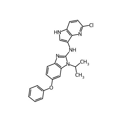 CC(C)n1c(Nc2c[nH]c3ccc(Cl)nc23)nc2ccc(Oc3ccccc3)cc21